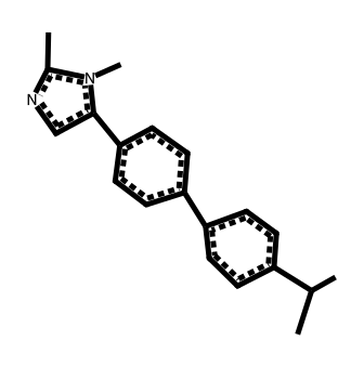 Cc1ncc(-c2ccc(-c3ccc(C(C)C)cc3)cc2)n1C